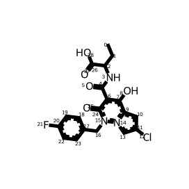 CCC(NC(=O)c1c(O)c2cc(Cl)cn2n(Cc2ccc(F)cc2)c1=O)C(=O)O